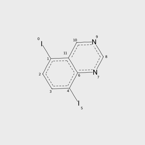 Ic1ccc(I)c2ncncc12